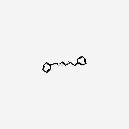 C(=C\[Se]Cc1ccccc1)/[Se]Cc1ccccc1